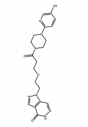 N#Cc1ccc(N2CCN(C(=O)CCOCCn3ncc4c(=O)[nH]ncc43)CC2)nc1